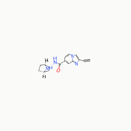 C#Cc1cn2ccc(C(=O)N[C@@H]3C[C@H]4CC[C@@H]3N4)cc2n1